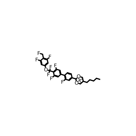 CCCCCC12COC(c3ccc(-c4cc(F)c(C(F)(F)Oc5cc(F)c(CF)c(F)c5)c(F)c4)c(F)c3)(OC1)OC2